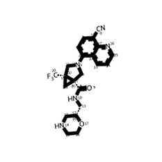 N#Cc1ccc(N2C[C@@]3(C(=O)NC[C@H]4CNCCO4)C[C@@]3(C(F)(F)F)C2)c2cccnc12